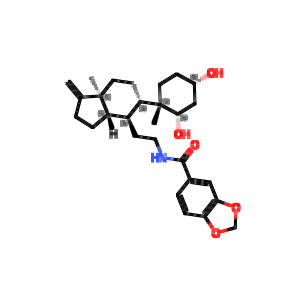 C=C1CC[C@H]2[C@H](CCNC(=O)c3ccc4c(c3)OCO4)[C@@H]([C@]3(C)CC[C@H](O)C[C@@H]3O)CC[C@]12C